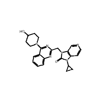 O=c1n(Cc2nc(N3CCC(O)CC3)c3ccccc3n2)c2cnccc2n1C1CC1